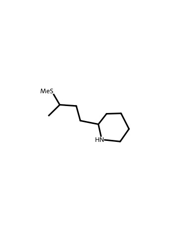 CSC(C)CCC1CCCCN1